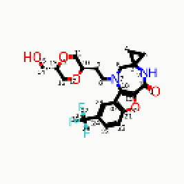 O=C1NC2(CC2)CN(CC[C@@H]2CO[C@@H](CO)CO2)c2c1oc1ccc(C(F)(F)F)cc21